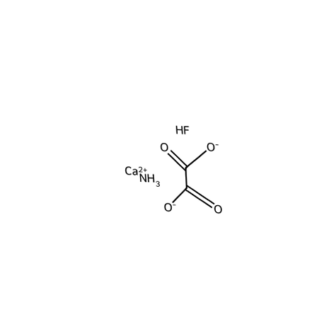 F.N.O=C([O-])C(=O)[O-].[Ca+2]